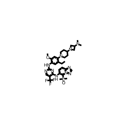 CCc1cc(Nc2ncc(C(F)(F)F)c(Nc3ccc4ncnn4c3P(C)(C)=O)n2)c(OC)cc1N1CCC(N2CC(N(C)C)C2)CC1